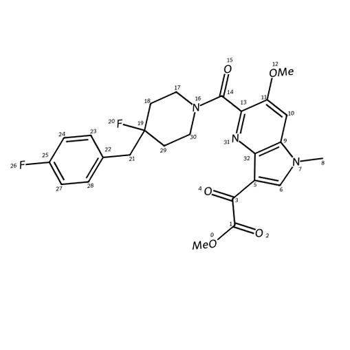 COC(=O)C(=O)c1cn(C)c2cc(OC)c(C(=O)N3CCC(F)(Cc4ccc(F)cc4)CC3)nc12